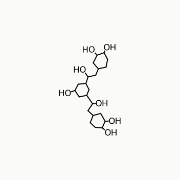 OC1CC(C(O)CC2CCC(O)C(O)C2)CC(C(O)CC2CCC(O)C(O)C2)C1